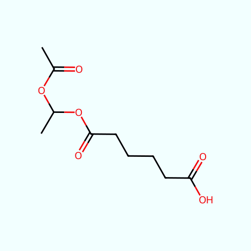 CC(=O)OC(C)OC(=O)CCCCC(=O)O